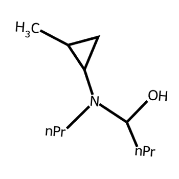 CCCC(O)N(CCC)C1CC1C